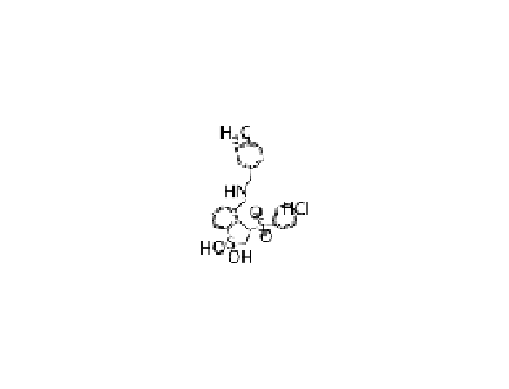 Cc1ccc(CNCc2cccc3c2C(S(=O)(=O)c2ccccc2)CS3(O)O)cc1.Cl